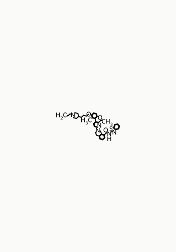 C=CCN1CCC(CCCOc2cccc(-c3ccc(N4CCc5cccc(C(=O)Nc6nc7ccccc7s6)c5C4)nc3C(C)=O)c2C)CC1